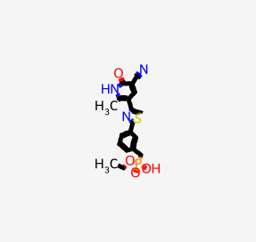 CCOP(=O)(O)Cc1cccc(-c2nc(-c3cc(C#N)c(=O)[nH]c3C)cs2)c1